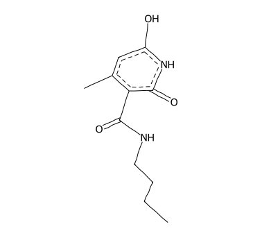 CCCCNC(=O)c1c(C)cc(O)[nH]c1=O